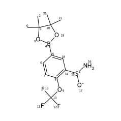 CC1(C)OB(c2ccc(OC(F)(F)F)c([S+](N)[O-])c2)OC1(C)C